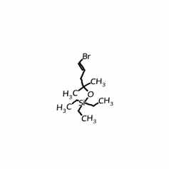 CC[Si](CC)(CC)OC(C)(C)CC=CBr